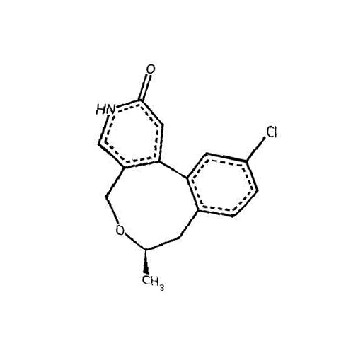 C[C@@H]1Cc2ccc(Cl)cc2-c2cc(=O)[nH]cc2CO1